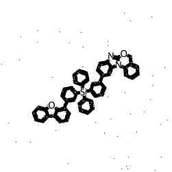 c1ccc([Si](c2ccccc2)(c2cccc(-c3ccc4nc5n(c4c3)-c3ccccc3CO5)c2)c2cccc(-c3cccc4c3oc3ccccc34)c2)cc1